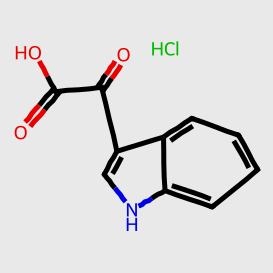 Cl.O=C(O)C(=O)c1c[nH]c2ccccc12